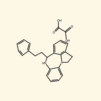 O=C(O)C(=O)O.c1ccc(CCC2Nc3ccccc3N3CCc4cccc2c43)cc1